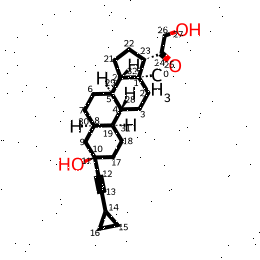 C[C@]12CC[C@H]3[C@@H](CC[C@@H]4C[C@@](O)(C#CC5CC5)CC[C@@H]43)[C@@H]1CC[C@@H]2C(=O)CO